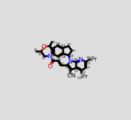 CC1CN(C(=O)C=Cc2c(C#N)c3c(C(C)C)cc(C(C)C)nc3n2C2CCc3ccccc32)CC(C)O1